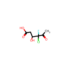 CC(=O)C(F)(Cl)C(O)CC(=O)O